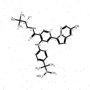 CN(C(=O)O)C(C)(C)c1ccc(Nc2cc(-c3ccc4cc(C#N)cnn34)ncc2C(=O)NC[C@@H](F)C(C)(C)O)cc1